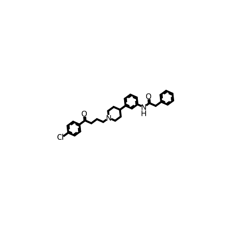 O=C(Cc1ccccc1)Nc1cccc(C2CCN(CCCC(=O)c3ccc(Cl)cc3)CC2)c1